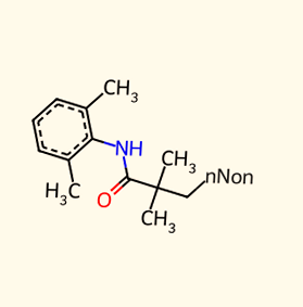 CCCCCCCCCCC(C)(C)C(=O)Nc1c(C)cccc1C